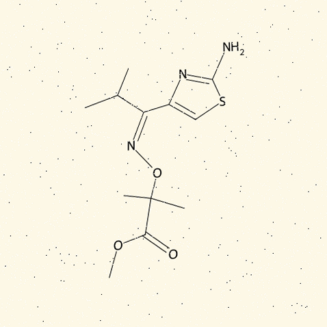 COC(=O)C(C)(C)O/N=C(\c1csc(N)n1)C(C)C